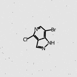 Clc1ncc(Br)c2[nH]ncc12